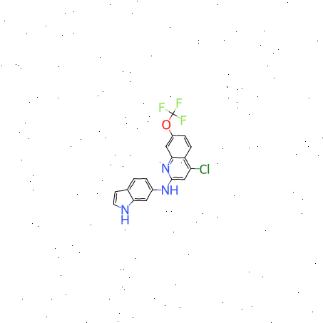 FC(F)(F)Oc1ccc2c(Cl)cc(Nc3ccc4cc[nH]c4c3)nc2c1